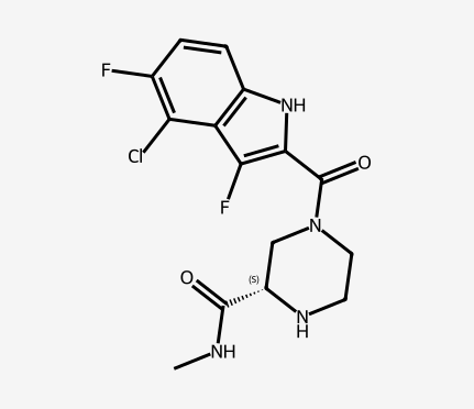 CNC(=O)[C@@H]1CN(C(=O)c2[nH]c3ccc(F)c(Cl)c3c2F)CCN1